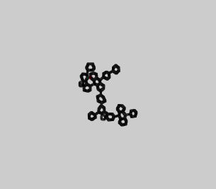 c1ccc(-c2ccc(-c3c4ccccc4c(-c4cccc5oc6ccc(-c7ccccc7)cc6c45)c4cc(-c5ccc(-c6cc(-c7ccccc7)c7oc8ccc(-c9c%10ccccc%10c(-c%10ccccc%10)c%10ccccc9%10)cc8c7c6)cc5)ccc34)cc2)cc1